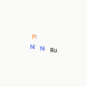 [N].[N].[P].[Ru]